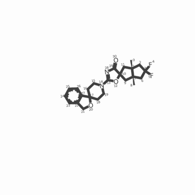 C[C@@]12CC(F)(F)C[C@]1(C)CC1(C2)OC(N2CCC3(CC2)OCc2ccccc23)=NC1=O